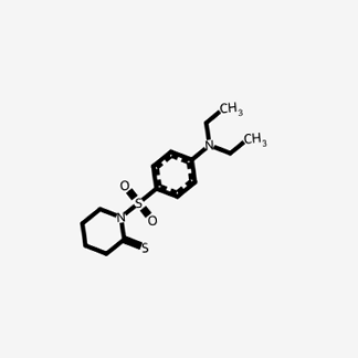 CCN(CC)c1ccc(S(=O)(=O)N2CCCCC2=S)cc1